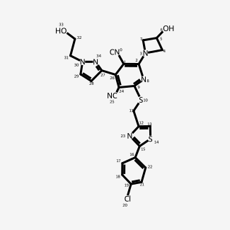 [C-]#[N+]c1c(N2CC(O)C2)nc(SCc2csc(-c3ccc(Cl)cc3)n2)c(C#N)c1-c1ccn(CCO)n1